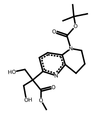 COC(=O)C(CO)(CO)c1ccc2c(n1)CCCN2C(=O)OC(C)(C)C